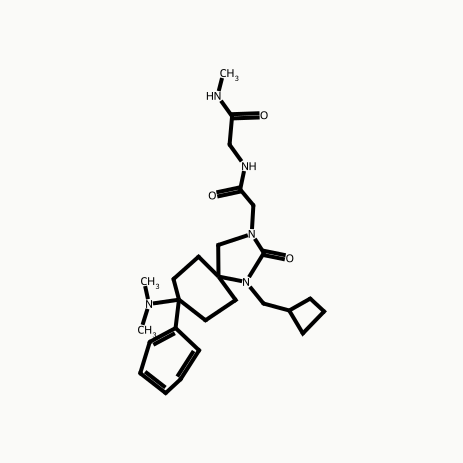 CNC(=O)CNC(=O)CN1CC2(CCC(c3ccccc3)(N(C)C)CC2)N(CC2CCC2)C1=O